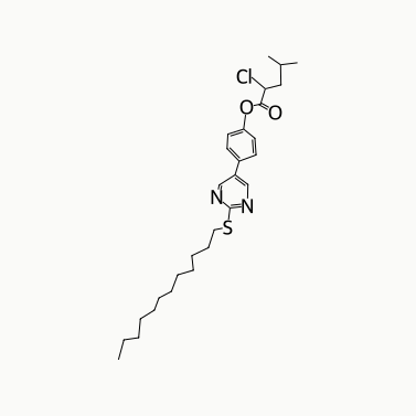 CCCCCCCCCCCCSc1ncc(-c2ccc(OC(=O)C(Cl)CC(C)C)cc2)cn1